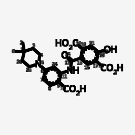 CC1(C)CCN(c2ccc(C(=O)O)c(NC(=O)c3cc(C(=O)O)c(O)cc3C(=O)O)c2)CC1